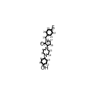 O=C1C(N2CCN(c3ccc(O)cc3)CC2)CCN1Cc1ccc(F)cc1